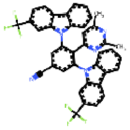 Cc1cc(-c2c(-n3c4ccccc4c4ccc(C(F)(F)F)cc43)cc(C#N)cc2-n2c3ccccc3c3ccc(C(F)(F)F)cc32)nc(C)n1